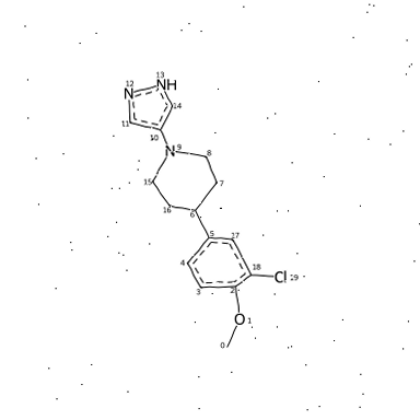 COc1ccc(C2CCN(c3cn[nH]c3)CC2)cc1Cl